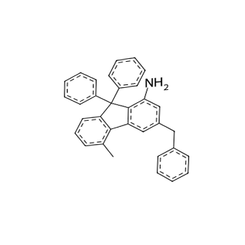 Cc1cccc2c1-c1cc(Cc3ccccc3)cc(N)c1C2(c1ccccc1)c1ccccc1